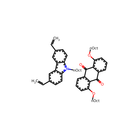 C=Cc1ccc2c(c1)c1cc(C=C)ccc1n2CCCCCCCC.CCCCCCCCOc1cccc2c1C(=O)c1cccc(OCCCCCCCC)c1C2=O